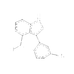 N#Cc1cc[c]c(-c2c[nH]c3cccc(CCl)c23)c1